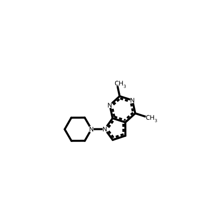 Cc1nc(C)c2ccn(N3CCCCC3)c2n1